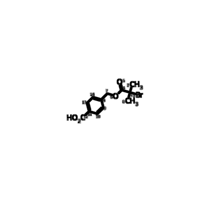 CC(C)(Br)C(=O)OCc1ccc(C(=O)O)cc1